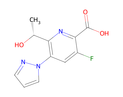 C[C@@H](O)c1nc(C(=O)O)c(F)cc1-n1cccn1